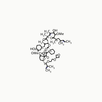 C/C=C/[C@@H](C)C[C@@H](C)C(=O)[C@H](OC)[C@H](O)/C(C)=C/[C@@H](C)C(=O)C[C@H](OC(=O)[C@@H]1CCCCN1C(=O)C(=O)[C@]1(O)O[C@H](C[C@@H](OCCOC2COC2)/C(C)=C/C)CC[C@H]1C)[C@H](C)C[C@@H]1CC[C@@H](O)[C@H](OC)C1